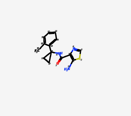 Nc1scnc1C(=O)NC1(c2ccccc2C(F)(F)F)CC1